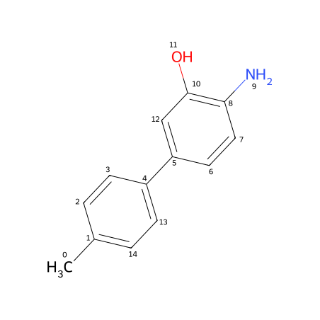 Cc1ccc(-c2ccc(N)c(O)c2)cc1